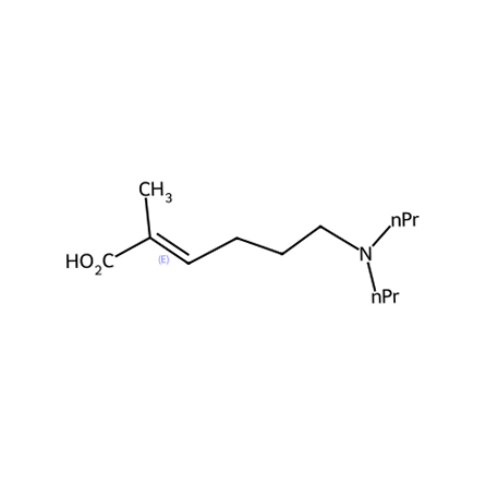 CCCN(CCC)CCC/C=C(\C)C(=O)O